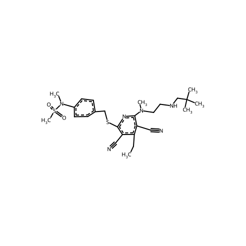 CCc1c(C#N)c(SCc2ccc(N(C)S(C)(=O)=O)cc2)nc(N(C)CCNCC(C)(C)C)c1C#N